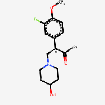 CC(C)C(=O)[C@@H](CN1CCC(O)CC1)c1ccc(OC(F)(F)F)c(F)c1